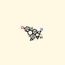 C[C@]1(C#N)[C@H]2C[C@H]2[C@H]2[C@H]3[C@H](CC[C@@]21C)[C@H]1CCC(=O)C=C1C[C@@H]3C1CC1